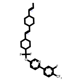 C/C=C/C1CCC(/C=C/C2CCC(C(F)(F)Oc3ccc(-c4ccc(C(F)(F)F)c(F)c4)nc3)CC2)CC1